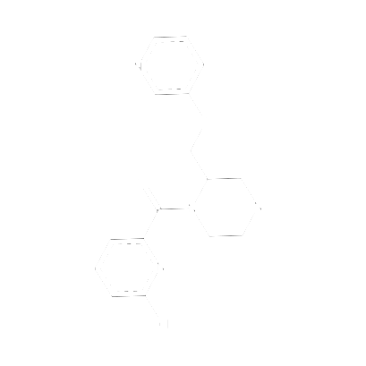 O=C(c1cccc(Cl)n1)N1CCNCC1COc1cccnc1